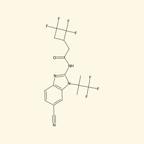 CC(C)(n1c(NC(=O)CC2CC(F)(F)C2(F)F)nc2ccc(C#N)cc21)C(F)(F)F